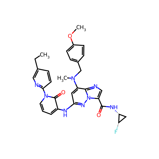 CCc1ccc(-n2cccc(Nc3cc(N(C)Cc4ccc(OC)cc4)c4ncc(C(=O)N[C@@H]5C[C@@H]5F)n4n3)c2=O)nc1